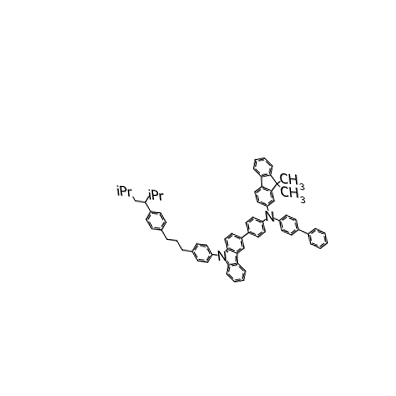 CC(C)CC(c1ccc(CCCc2ccc(-n3c4ccccc4c4cc(-c5ccc(N(c6ccc(-c7ccccc7)cc6)c6ccc7c(c6)C(C)(C)c6ccccc6-7)cc5)ccc43)cc2)cc1)C(C)C